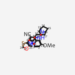 COc1ccc2ncc(C#N)c(CCN3C4CCC3CC(NCc3cc5c(cn3)OCS5)C4)c2c1